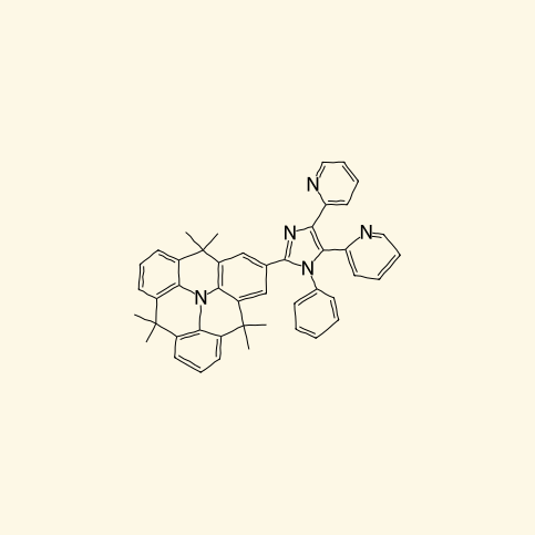 CC1(C)c2cccc3c2N2c4c1cccc4C(C)(C)c1cc(-c4nc(-c5ccccn5)c(-c5ccccn5)n4-c4ccccc4)cc(c12)C3(C)C